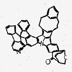 N#Cc1cc2c(c3c1C1(c4ccccc4-c4ccccc41)c1ccccc1-3)c1c3cc(c4c5cc6c(cc5n2c41)C(=O)C1CCC6CC1)CCc1cccc(c1)CC3